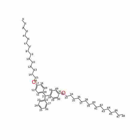 CCCCCCCCCCCCCCCCOc1ccc(C(c2ccccc2)c2ccc(OCCCCCCCCCCCCCCCC)cc2)cc1